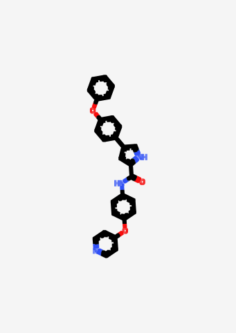 O=C(Nc1ccc(Oc2ccncc2)cc1)c1cc(-c2ccc(Oc3ccccc3)cc2)c[nH]1